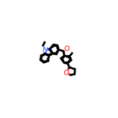 CCn1c2ccccc2c2cc(C(=O)c3ccc(C4CCCO4)cc3C)ccc21